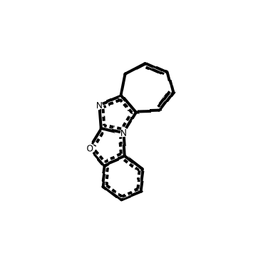 C1=CCc2nc3oc4ccccc4n3c2C=C1